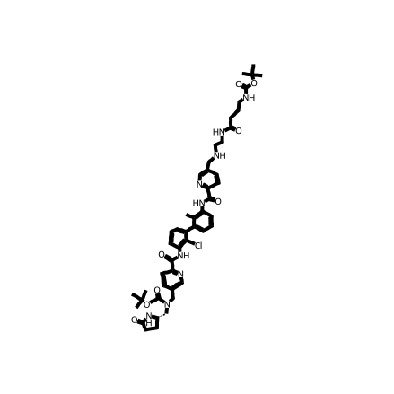 Cc1c(NC(=O)c2ccc(CNCCNC(=O)CCCNC(=O)OC(C)(C)C)cn2)cccc1-c1cccc(NC(=O)c2ccc(CN(C[C@@H]3CCC(=O)N3)C(=O)OC(C)(C)C)cn2)c1Cl